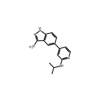 CC(C)Nc1cc(-c2ccc3[nH]nc(N)c3c2)ccn1